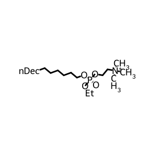 CCCCCCCCCCCCCCCCOP(=O)(OCC)OCC[N+](C)(C)C